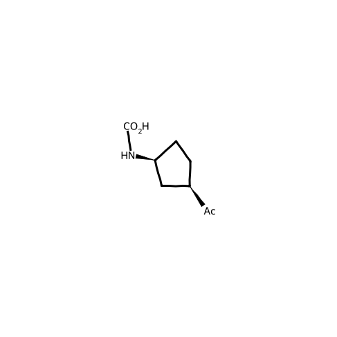 CC(=O)[C@@H]1CC[C@H](NC(=O)O)C1